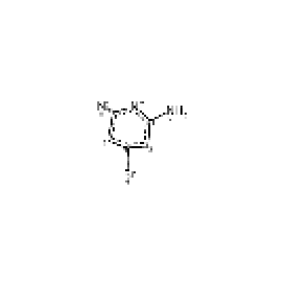 Nc1cc(Br)ccn1.[N]